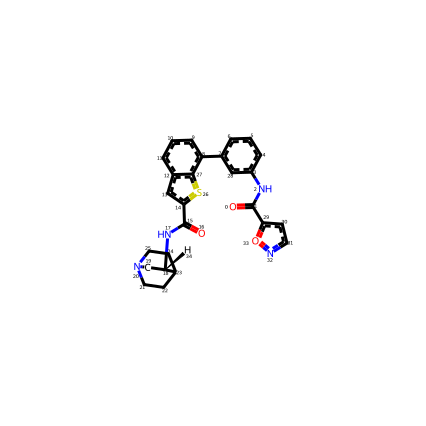 O=C(Nc1cccc(-c2cccc3cc(C(=O)N[C@H]4CN5CCC4CC5)sc23)c1)c1ccno1